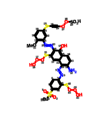 CCCCS(=O)(=O)c1ccc(N=Nc2c(N)ccc3c(O)c(N=Nc4cc(SC#COOS(=O)(=O)O)ccc4OC)c(SOOO)cc23)c(SOOO)c1